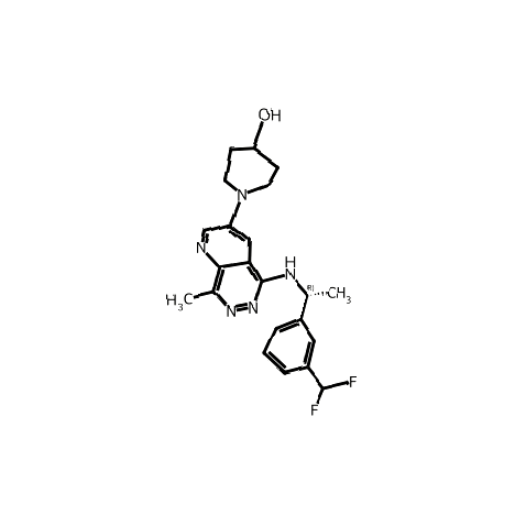 Cc1nnc(N[C@H](C)c2cccc(C(F)F)c2)c2cc(N3CCC(O)CC3)cnc12